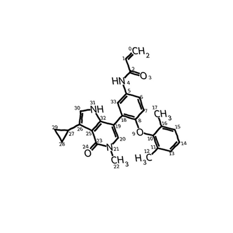 C=CC(=O)Nc1ccc(Oc2c(C)cccc2C)c(-c2cn(C)c(=O)c3c(C4CC4)c[nH]c23)c1